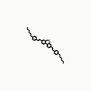 CCCCCCc1ccc(/C=C/c2ccc3c(c2)CSc2cc(/C=C/c4ccc(CCCCCC)cc4)ccc2-3)cc1